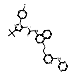 CC(C)(C)c1cc(NC(=O)Nc2ccc(OCc3ccnc(Nc4cnccn4)c3)c3ccccc23)n(-c2ccc(Cl)cc2)n1